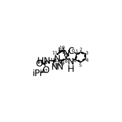 Cc1ccccc1Nc1nccn2c(NC(=O)OC(C)C)nnc12